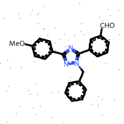 COc1ccc(-c2nc(-c3cccc(C=O)c3)n(Cc3ccccc3)n2)cc1